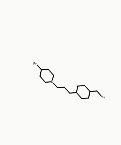 CC(C)CC1CCC(CCCN2CCC(C(C)C)CC2)CC1